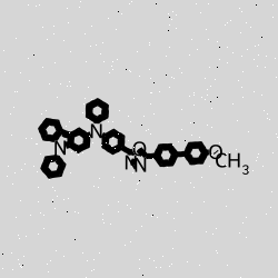 COc1ccc(-c2ccc(-c3nnc(-c4ccc(N(c5ccccc5)c5ccc6c(c5)c5ccccc5n6-c5ccccc5)cc4)o3)cc2)cc1